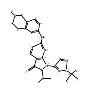 CC(C)n1c(=O)c2cnc(Nc3ccc4c(c3)CCN(C)C4)nc2n1-c1ccn(C(C)(C)C)n1